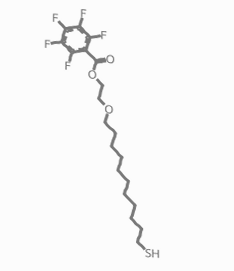 O=C(OCCOCCCCCCCCCCCS)c1c(F)c(F)c(F)c(F)c1F